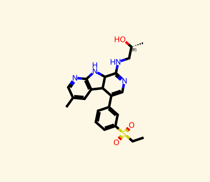 CCS(=O)(=O)c1cccc(C2=CN=C(NC[C@@H](C)O)C3Nc4ncc(C)cc4C23)c1